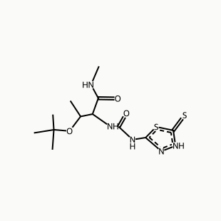 CNC(=O)C(NC(=O)Nc1n[nH]c(=S)s1)C(C)OC(C)(C)C